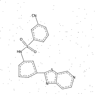 [C-]#[N+]c1cccc(S(=O)(=O)Nc2cccc(-c3nc4ccncc4s3)c2)c1